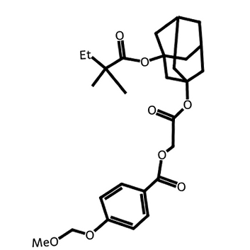 CCC(C)(C)C(=O)OC12CC3CC(CC(OC(=O)COC(=O)c4ccc(OCOC)cc4)(C3)C1)C2